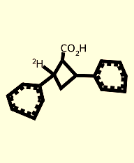 [2H]C1(c2ccccc2)CC(c2ccccc2)C1C(=O)O